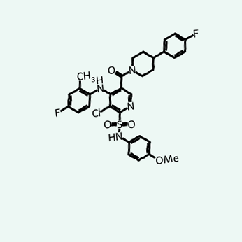 COc1ccc(NS(=O)(=O)c2ncc(C(=O)N3CCC(c4ccc(F)cc4)CC3)c(Nc3ccc(F)cc3C)c2Cl)cc1